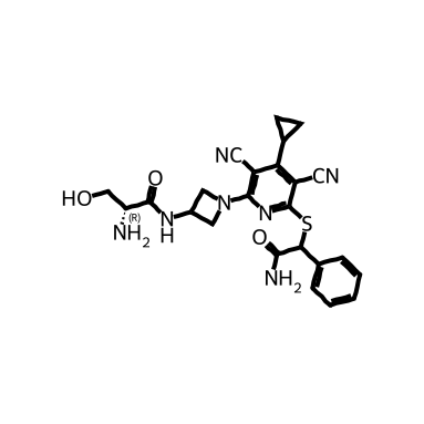 N#Cc1c(SC(C(N)=O)c2ccccc2)nc(N2CC(NC(=O)[C@H](N)CO)C2)c(C#N)c1C1CC1